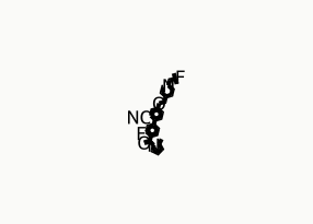 CC1CCCN1C(=O)c1ccc(-c2ccc(OCC3CCN(CC(C)(C)F)CC3)cc2C#N)cc1F